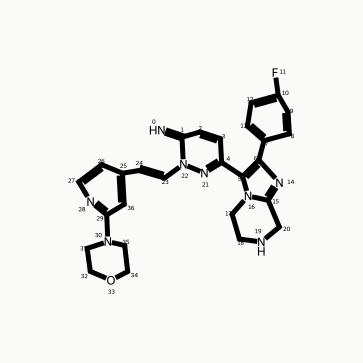 N=c1ccc(-c2c(-c3ccc(F)cc3)nc3n2CCNC3)nn1/C=C/c1ccnc(N2CCOCC2)c1